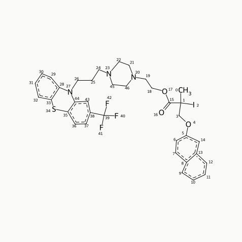 CC(I)(COc1ccc2ccccc2c1)C(=O)OCCN1CCN(CCCN2c3ccccc3Sc3ccc(C(F)(F)F)cc32)CC1